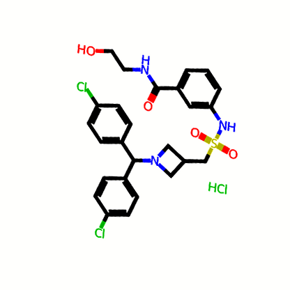 Cl.O=C(NCCO)c1cccc(NS(=O)(=O)CC2CN(C(c3ccc(Cl)cc3)c3ccc(Cl)cc3)C2)c1